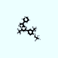 FC(F)(F)COc1ccc(-c2cc(C(F)(F)F)n3ncc(-c4cccnc4)c3n2)cc1C(F)(F)F